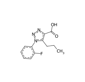 CCCc1c(C(=O)O)nnn1-c1ccccc1F